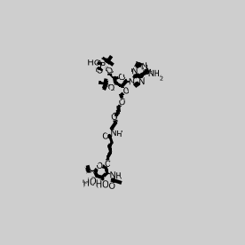 CC[C@H]1O[C@@H](OCCCCC(=O)NCCOCCOCO[C@@H]2[C@H](OC(C)(C)C)[C@@H](COP(=O)(O)C(C)(C)C)O[C@H]2n2cnc3c(N)ncnc32)[C@H](NC(C)=O)[C@@H](O)[C@H]1O